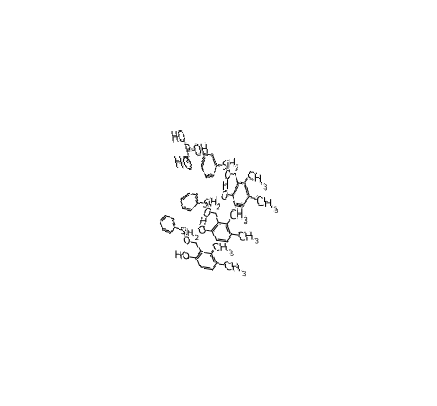 Cc1ccc(O)c(CO[SiH2]c2ccccc2)c1C.Cc1ccc(O)c(CO[SiH2]c2ccccc2)c1C.Cc1ccc(O)c(CO[SiH2]c2ccccc2)c1C.OP(O)O